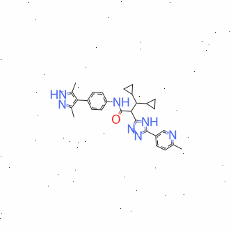 Cc1ccc(-c2nnc(C(C(=O)Nc3ccc(-c4c(C)n[nH]c4C)cc3)C(C3CC3)C3CC3)[nH]2)cn1